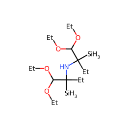 CCOC(OCC)C([SiH3])(CC)NC([SiH3])(CC)C(OCC)OCC